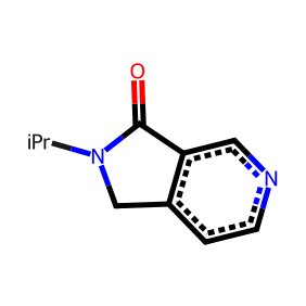 CC(C)N1Cc2ccncc2C1=O